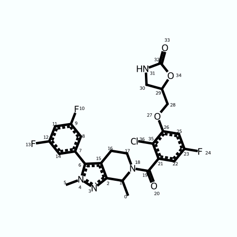 CC1c2nn(C)c(-c3cc(F)cc(F)c3)c2CCN1C(=O)c1cc(F)cc(OCC2CNC(=O)O2)c1Cl